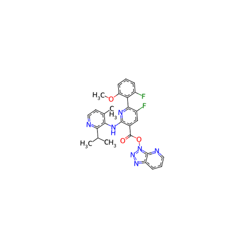 COc1cccc(F)c1-c1nc(Nc2c(C)ccnc2C(C)C)c(C(=O)On2nnc3cccnc32)cc1F